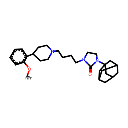 CCCOc1ccccc1C1CCN(CCCCN2CCN(C34CC5CC(CC(C5)C3)C4)C2=O)CC1